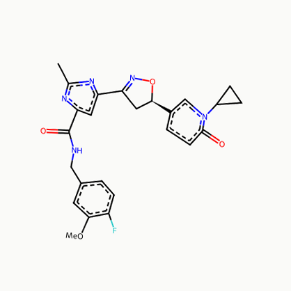 COc1cc(CNC(=O)c2cc(C3=NO[C@@H](c4ccc(=O)n(C5CC5)c4)C3)nc(C)n2)ccc1F